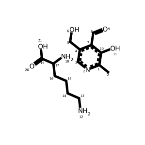 Cc1ncc(CO)c(C=O)c1O.NCCCCC(N)C(=O)O